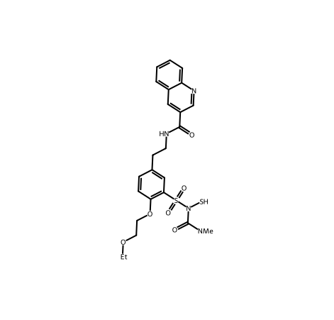 CCOCCOc1ccc(CCNC(=O)c2cnc3ccccc3c2)cc1S(=O)(=O)N(S)C(=O)NC